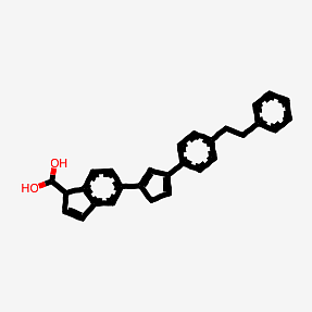 OC(O)C1C=Cc2cc(C3=CC(c4ccc(CCc5ccccc5)cc4)=CC3)ccc21